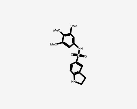 COc1cc(NS(=O)(=O)c2ccc3c(c2)CCN3)cc(OC)c1OC